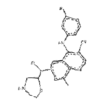 CCN(c1cc(C)c2ncc(C#N)c(Nc3cccc(Br)c3)c2c1)C1CNCCO1